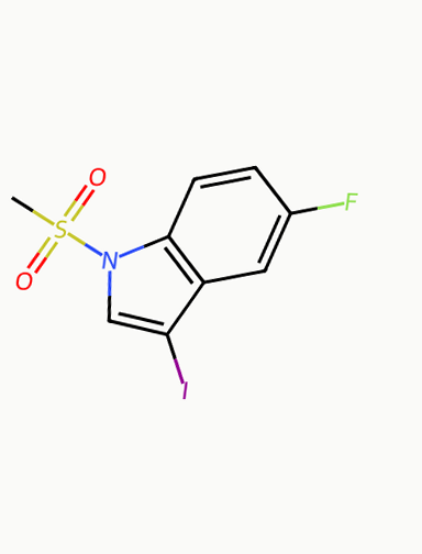 CS(=O)(=O)n1cc(I)c2cc(F)ccc21